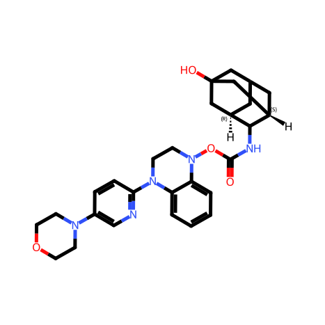 O=C(NC1[C@@H]2CC3C[C@H]1CC(O)(C3)C2)ON1CCN(c2ccc(N3CCOCC3)cn2)c2ccccc21